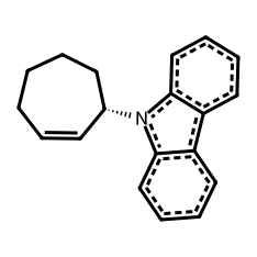 C1=C[C@@H](n2c3ccccc3c3ccccc32)CCCC1